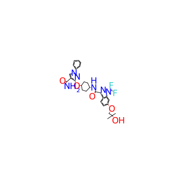 CC(C)(O)COc1ccc2c(C(=O)N[C@H]3CC[C@H](Oc4nn(-c5ccccc5)cc4C(N)=O)CC3)nn(C(F)F)c2c1